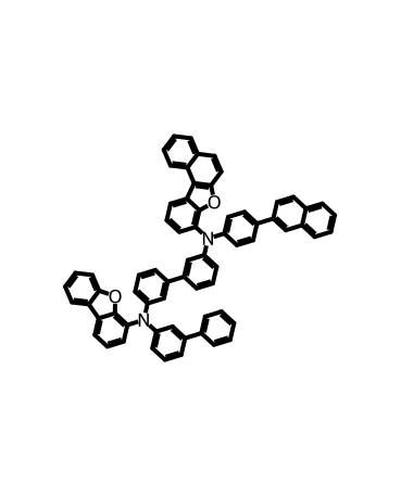 c1ccc(-c2cccc(N(c3cccc(-c4cccc(N(c5ccc(-c6ccc7ccccc7c6)cc5)c5cccc6c5oc5ccc7ccccc7c56)c4)c3)c3cccc4c3oc3ccccc34)c2)cc1